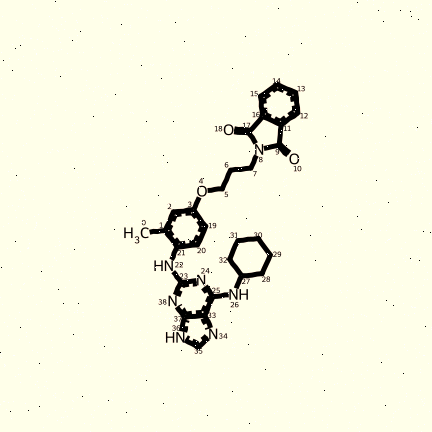 Cc1cc(OCCCN2C(=O)c3ccccc3C2=O)ccc1Nc1nc(NC2CCCCC2)c2nc[nH]c2n1